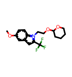 COc1ccc2c(c1)cc(C(F)(F)F)n2CCOC1CCCCO1